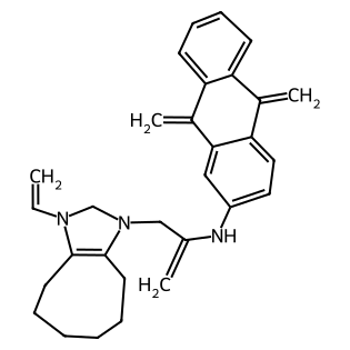 C=CN1CN(CC(=C)Nc2ccc3c(=C)c4ccccc4c(=C)c3c2)C2=C1CCCCCC2